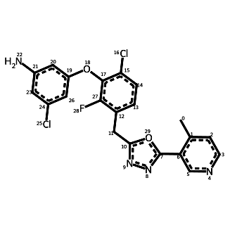 Cc1ccncc1-c1nnc(Cc2ccc(Cl)c(Oc3cc(N)cc(Cl)c3)c2F)o1